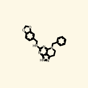 c1ccc(CN2CCc3n[nH]c4nc(NCc5ccc6c(c5)OCO6)nc2c34)cc1